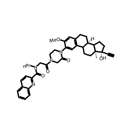 C#C[C@]1(O)CCC2[C@@H]3CCc4cc(OC)c(N5CCN(C(=O)CN(CCC)C(=O)c6ccc7ccccc7n6)CC5=O)cc4C3CC[C@@]21C